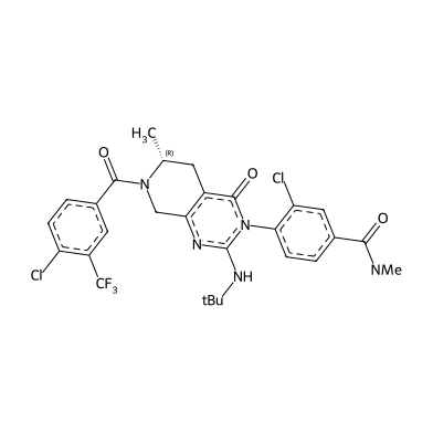 CNC(=O)c1ccc(-n2c(NC(C)(C)C)nc3c(c2=O)C[C@@H](C)N(C(=O)c2ccc(Cl)c(C(F)(F)F)c2)C3)c(Cl)c1